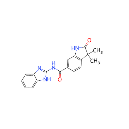 CC1(C)C(=O)Nc2cc(C(=O)Nc3nc4ccccc4[nH]3)ccc21